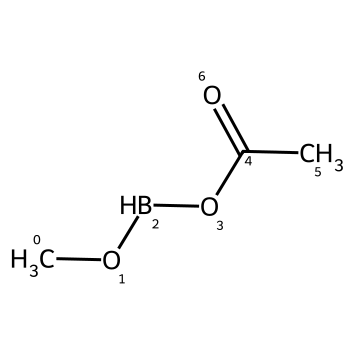 COBOC(C)=O